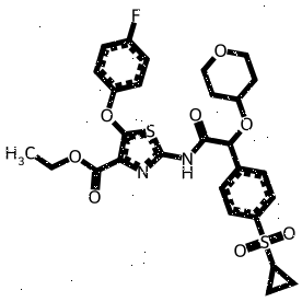 CCOC(=O)c1nc(NC(=O)C(OC2CCOCC2)c2ccc(S(=O)(=O)C3CC3)cc2)sc1Oc1ccc(F)cc1